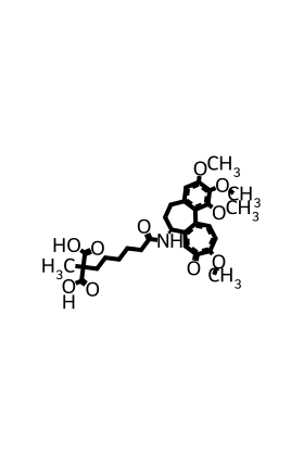 COc1cc2c(c(OC)c1OC)-c1ccc(OC)c(=O)cc1[C@@H](NC(=O)CCCCCC(C)(C(=O)O)C(=O)O)CC2